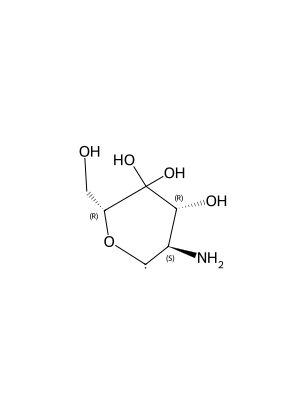 N[C@H]1[CH]O[C@H](CO)C(O)(O)[C@@H]1O